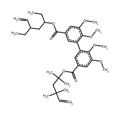 C=CC(CC)CC(CC)OC(=O)c1cc(OC)c(OC)c(-c2cc(C(=O)OC(C)(C)CC(C)(C)C=C)cc(OC)c2OC)c1